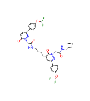 O=C(Cn1nc(-c2ccc(OC(F)F)cc2)ccc1=O)NCCCCc1cc(-c2ccc(OC(F)F)cc2)nn(CC(=O)NCC2CCC2)c1=O